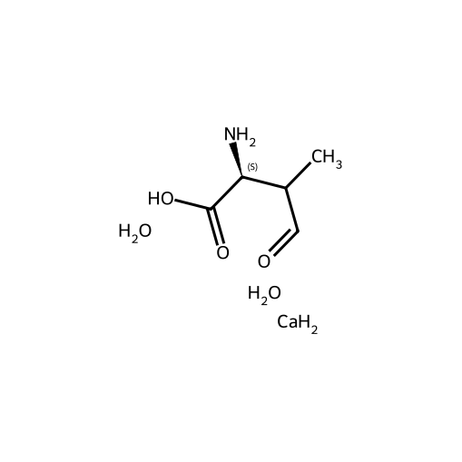 CC(C=O)[C@H](N)C(=O)O.O.O.[CaH2]